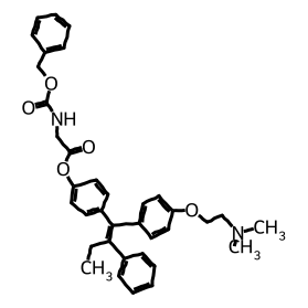 CCC(=C(c1ccc(OCCN(C)C)cc1)c1ccc(OC(=O)CNC(=O)OCc2ccccc2)cc1)c1ccccc1